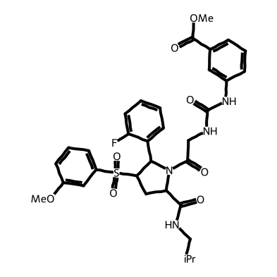 COC(=O)c1cccc(NC(=O)NCC(=O)N2C(C(=O)NCC(C)C)CC(S(=O)(=O)c3cccc(OC)c3)C2c2ccccc2F)c1